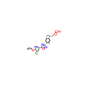 Cc1cc2c(cc1-c1noc(-c3cnc(OC(C)C)c(Cl)c3)n1)CCC2CCOO